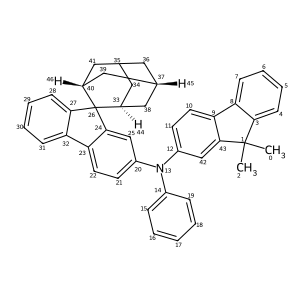 CC1(C)c2ccccc2-c2ccc(N(c3ccccc3)c3ccc4c(c3)C3(c5ccccc5-4)[C@H]4CC5C[C@H](C4)C[C@H]3C5)cc21